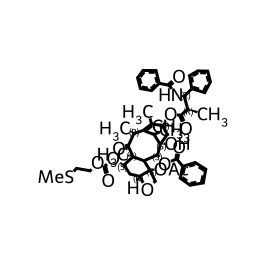 CSCCOC(=O)O[C@H]1C[C@H]2OC[C@@]2(OC(C)=O)C2[C@H](OC(=O)c3ccccc3)[C@]3(O)C[C@H](OC(=O)[C@H](C)[C@@H](NC(=O)c4ccccc4)c4ccccc4)C(C)=C([C@@H](C)C(=O)[C@@]21C)C3(C)C